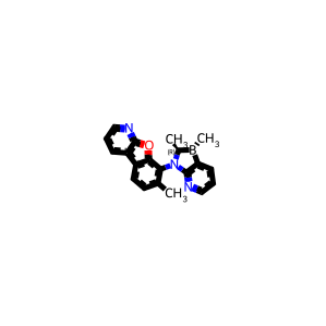 CB1c2cccnc2N(c2c(C)ccc3c2oc2ncccc23)[C@H]1C